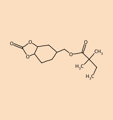 CCC(C)(C)C(=O)OCC1CCC2OC(=O)OC2C1